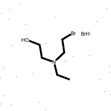 Br.CCN(CCO)CCBr